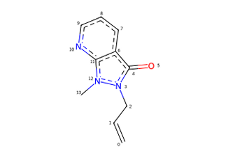 C=CCn1c(=O)c2cccnc2n1C